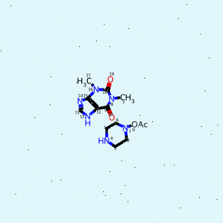 CC(=O)ON1CCNCC1.Cn1c(=O)c2[nH]cnc2n(C)c1=O